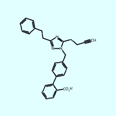 C#CCCc1nc(CCc2ccccc2)nn1Cc1ccc(-c2ccccc2C(=O)O)cc1